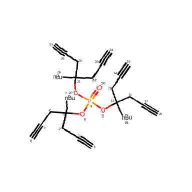 C#CCC(CC#C)(CCCC)OP(=O)(OC(CC#C)(CC#C)CCCC)OC(CC#C)(CC#C)CCCC